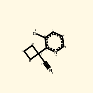 N#CC1(c2ncccc2Cl)CCC1